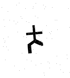 C=CC(=S)C(C)(C)C